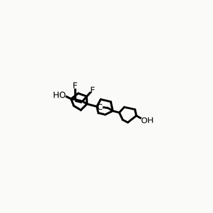 OC1CCC(C23CCC(C45CCC(O)(CC4)C(F)=C5F)(CC2)CC3)CC1